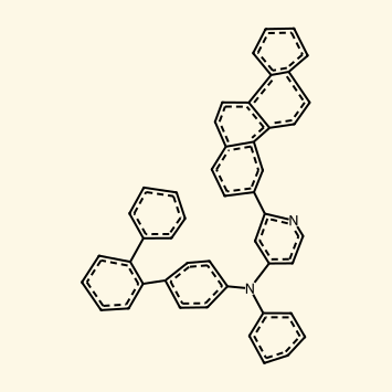 c1ccc(-c2ccccc2-c2ccc(N(c3ccccc3)c3ccnc(-c4ccc5ccc6c7ccccc7ccc6c5c4)c3)cc2)cc1